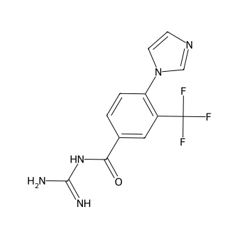 N=C(N)NC(=O)c1ccc(-n2ccnc2)c(C(F)(F)F)c1